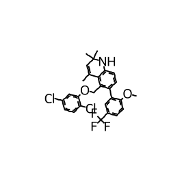 COc1ccc(C(F)(F)F)cc1-c1ccc2c(c1COc1cc(Cl)ccc1Cl)C(C)=CC(C)(C)N2